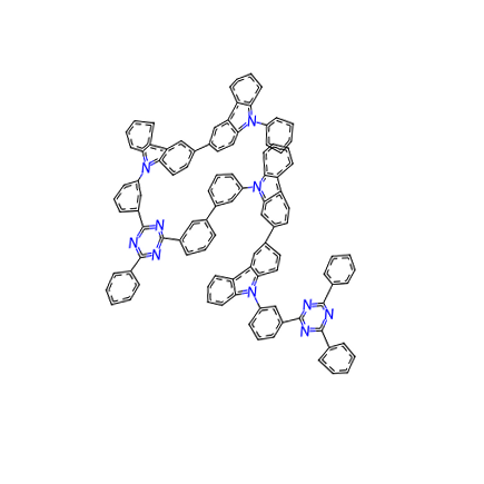 c1ccc(-c2nc(-c3ccccc3)nc(-c3cccc(-n4c5ccccc5c5cc(-c6ccc7c8ccccc8n(-c8cccc(-c9cccc(-c%10nc(-c%11ccccc%11)nc(-c%11cccc(-n%12c%13ccccc%13c%13cc(-c%14ccc%15c(c%14)c%14ccccc%14n%15-c%14ccccc%14)ccc%13%12)c%11)n%10)c9)c8)c7c6)ccc54)c3)n2)cc1